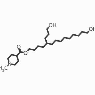 CN1CCC(C(=O)OCCCCC(CCCO)CCCCCCCCCO)CC1